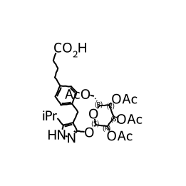 CC(=O)OC[C@H]1O[C@@H](Oc2n[nH]c(C(C)C)c2Cc2ccc(CCCC(=O)O)cc2)[C@H](OC(C)=O)[C@@H](OC(C)=O)[C@@H]1OC(C)=O